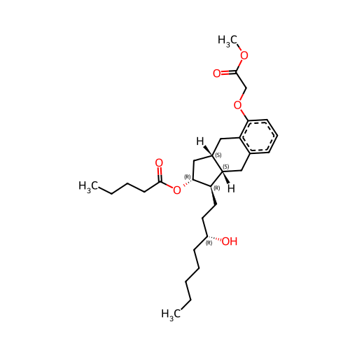 CCCCC[C@@H](O)CC[C@@H]1[C@H]2Cc3cccc(OCC(=O)OC)c3C[C@H]2C[C@H]1OC(=O)CCCC